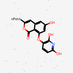 CCCCCc1cc2cc(O)cc(Oc3ccc(O)nc3O)c2c(=O)o1